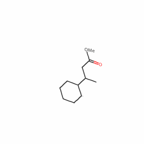 COC(=O)CC(C)C1[CH]CCCC1